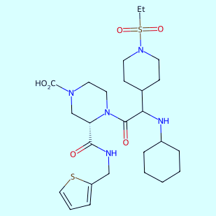 CCS(=O)(=O)N1CCC(C(NC2CCCCC2)C(=O)N2CCN(C(=O)O)C[C@H]2C(=O)NCc2cccs2)CC1